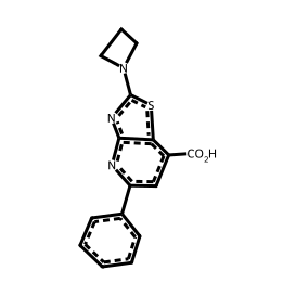 O=C(O)c1cc(-c2ccccc2)nc2nc(N3CCC3)sc12